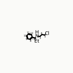 CCC(NCCCCl)c1ccccc1